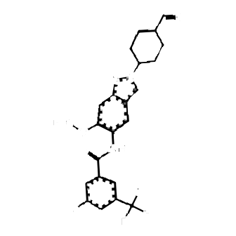 COc1cc2nn(C3CCC(C=O)CC3)cc2cc1NC(=O)c1cc(F)cc(C(F)(F)F)c1